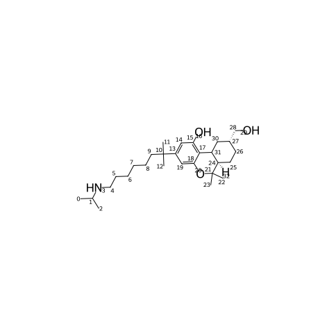 CC(C)NCCCCCCC(C)(C)c1cc(O)c2c(c1)OC(C)(C)[C@@H]1CC[C@@H](CO)CC21